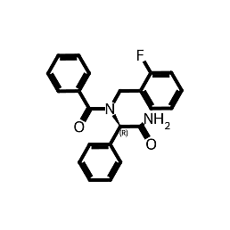 NC(=O)[C@@H](c1ccccc1)N(Cc1ccccc1F)C(=O)c1ccccc1